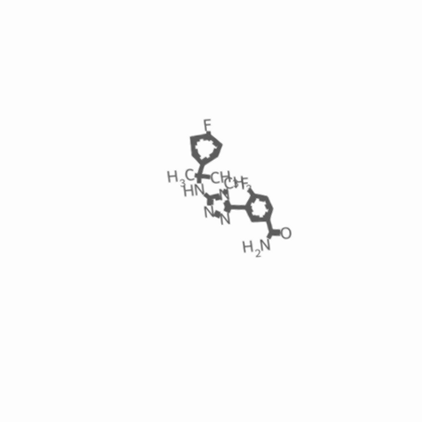 Cn1c(NC(C)(C)c2ccc(F)cc2)nnc1-c1cc(C(N)=O)ccc1F